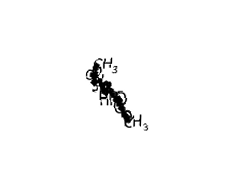 CCOC(=O)c1csc(-c2ccc(CNC(=O)OCCOC)cc2)n1